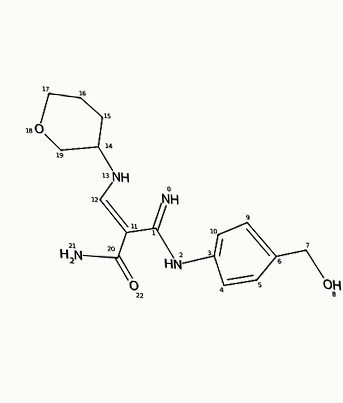 N=C(Nc1ccc(CO)cc1)/C(=C\NC1CCCOC1)C(N)=O